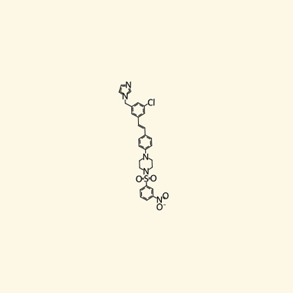 O=[N+]([O-])c1cccc(S(=O)(=O)N2CCN(c3ccc(/C=C/c4cc(Cl)cc(Cn5ccnc5)c4)cc3)CC2)c1